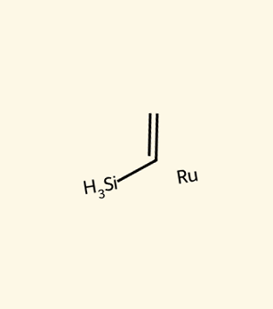 C=C[SiH3].[Ru]